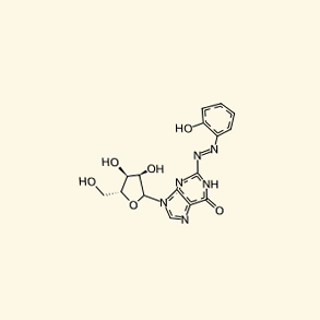 O=c1[nH]c(/N=N/c2ccccc2O)nc2c1ncn2C1O[C@H](CO)[C@@H](O)[C@H]1O